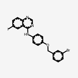 Brc1cccc(COc2ccc(Nc3ncnc4ccc(I)cc34)cc2)c1